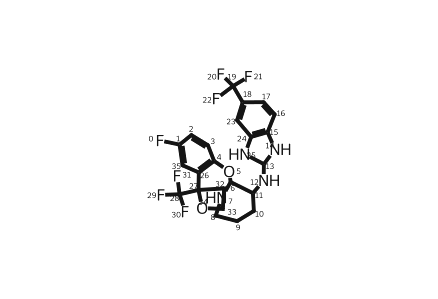 Fc1ccc(OC2NCCCC2NC2Nc3ccc(C(F)(F)F)cc3N2)c(C2(C(F)(F)F)CCO2)c1